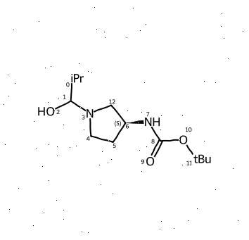 CC(C)C(O)N1CC[C@H](NC(=O)OC(C)(C)C)C1